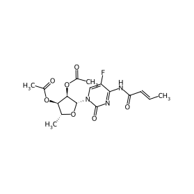 CC=CC(=O)Nc1nc(=O)n([C@@H]2O[C@H](C)[C@@H](OC(C)=O)[C@H]2OC(C)=O)cc1F